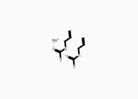 C=CCOC(=O)[O-].C=CCOC(=O)[O-].[Mg+2]